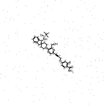 CC(C)(C)[S+]([O-])NC1c2ccccc2CC12CCN(c1ncc(C#CCOc3ccc(C(N)=O)c(F)c3)nc1CO)CC2